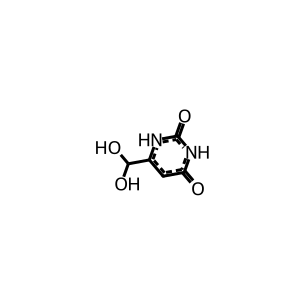 O=c1cc(C(O)O)[nH]c(=O)[nH]1